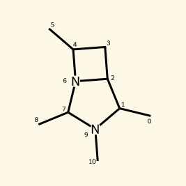 CC1C2CC(C)N2C(C)N1C